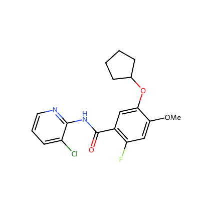 COc1cc(F)c(C(=O)Nc2ncccc2Cl)cc1OC1CCCC1